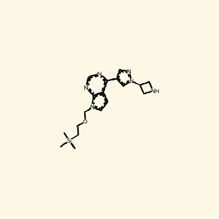 C[Si](C)(C)CCOCn1ccc2c(-c3cnn(C4CNC4)c3)ncnc21